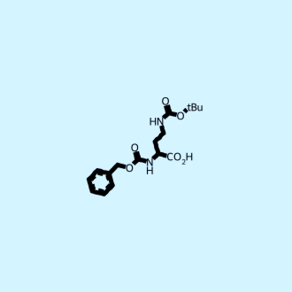 CC(C)(C)OC(=O)NCCC(NC(=O)OCc1ccccc1)C(=O)O